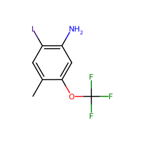 Cc1cc(I)c(N)cc1OC(F)(F)F